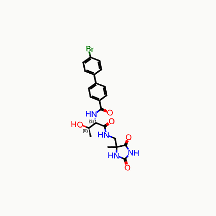 C[C@@H](O)[C@H](NC(=O)c1ccc(-c2ccc(Br)cc2)cc1)C(=O)NCC1(C)NC(=O)NC1=O